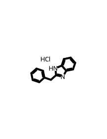 Cl.c1ccc(Cc2nc3ccccc3[nH]2)cc1